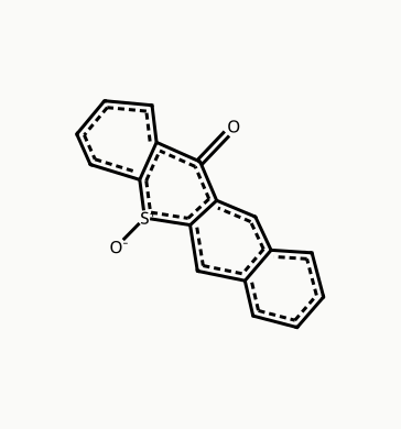 O=c1c2ccccc2[s+]([O-])c2cc3ccccc3cc12